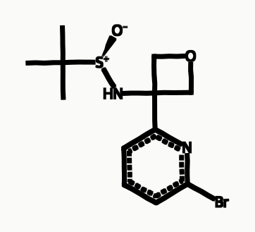 CC(C)(C)[S@@+]([O-])NC1(c2cccc(Br)n2)COC1